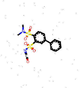 CN(C)S(=O)(=O)c1ccc(-c2ccccc2)cc1S(=O)(=O)N=C=O